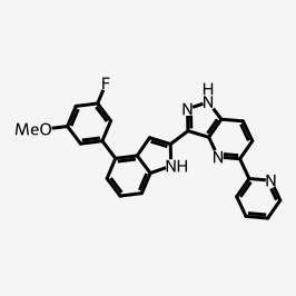 COc1cc(F)cc(-c2cccc3[nH]c(-c4n[nH]c5ccc(-c6ccccn6)nc45)cc23)c1